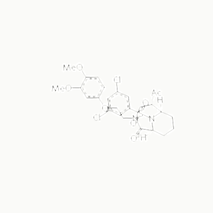 [2H][C@]12CCC[C@H]([C@@H](C(C)=O)CN(CCOc3ccc(OC)c(OC)c3)C1=O)N2S(=O)(=O)c1cc(Cl)cc(Cl)c1